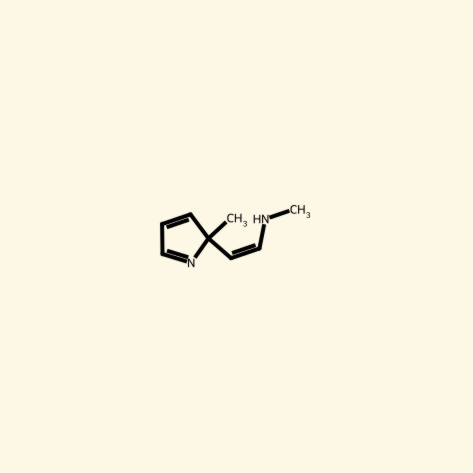 CN/C=C\C1(C)C=CC=N1